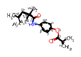 C=C(C)C(=O)Oc1ccc(NC(=O)C(C)(C=C(C)C)C(C)C)cc1